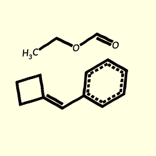 C(=C1CCC1)c1ccccc1.CCOC=O